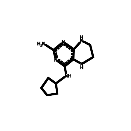 Nc1nc2c(c(NC3CCCC3)n1)NCCN2